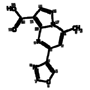 Cc1cc(-c2cocn2)nc2c(C(=O)O)ccn12